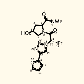 CNC(=O)C1CC(O)CN1C(=O)[C@H](C(C)C)n1cc(-c2ccco2)nn1